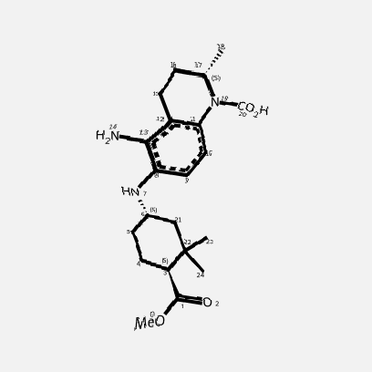 COC(=O)[C@H]1CC[C@H](Nc2ccc3c(c2N)CC[C@H](C)N3C(=O)O)CC1(C)C